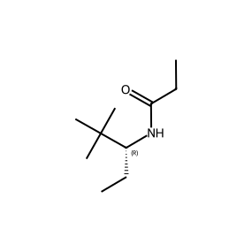 CCC(=O)N[C@H](CC)C(C)(C)C